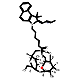 C/C=C/C=C1/N(CCCCCC(=O)NC[C@H]2O[C@@H]3OC4[C@@H](CO)O[C@H](CCCO[C@H]2[C@H](O)[C@H]3O)[C@H](O)[C@H]4O)c2ccc3ccccc3c2C1(C)C